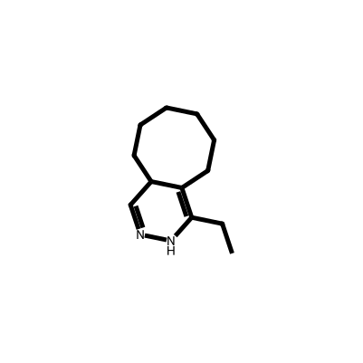 CCC1=C2CCCCCCC2C=NN1